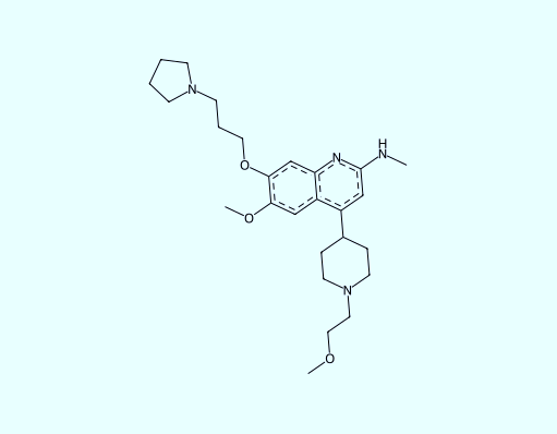 CNc1cc(C2CCN(CCOC)CC2)c2cc(OC)c(OCCCN3CCCC3)cc2n1